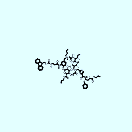 C=CCOC(=O)[C@H]1O[C@@H](Oc2ccc(C[N+](C)(CCCC)CC(=O)N[C@H](C(=O)N(C)[C@H](C[C@@H](OC(C)=O)c3nc(C(=O)N[C@@H](Cc4ccccc4)C[C@H](C)C(=O)OCC=C)cs3)C(C)C)[C@@H](C)CC)cc2NC(=O)CCNC(=O)OCC2c3ccccc3-c3ccccc32)[C@H](O)[C@@H](O)[C@@H]1O